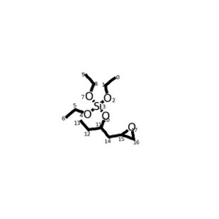 CCO[Si](OCC)(OCC)OC(CC)CC1CO1